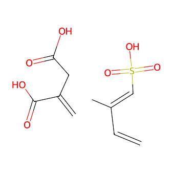 C=C(CC(=O)O)C(=O)O.C=CC(C)=CS(=O)(=O)O